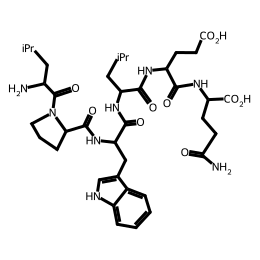 CC(C)CC(N)C(=O)N1CCCC1C(=O)NC(Cc1c[nH]c2ccccc12)C(=O)NC(CC(C)C)C(=O)NC(CCC(=O)O)C(=O)NC(CCC(N)=O)C(=O)O